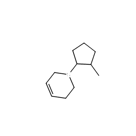 CC1CCCC1N1CC=CCC1